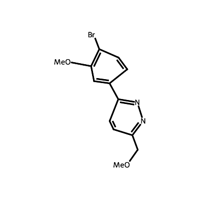 COCc1ccc(-c2ccc(Br)c(OC)c2)nn1